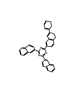 C1=CCCC(C2=Cc3cc(-c4nc(-c5ccc6ccccc6c5)nc(-c5ccc6ccccc6c5)n4)ccc3CC2)=C1